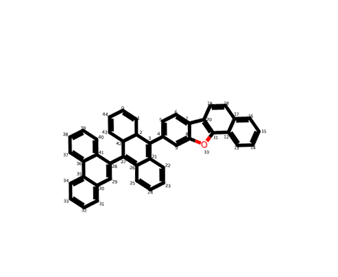 C1=CC2C(c3ccc4c(c3)oc3c5ccccc5ccc43)=c3ccccc3=C(c3cc4ccccc4c4ccccc34)C2C=C1